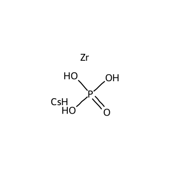 O=P(O)(O)O.[CsH].[Zr]